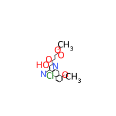 CCOC(=O)CCC(=O)c1nc(Cc2c(Cl)cccc2OC)cc(C#N)c1O